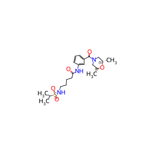 CC(C)S(=O)(=O)NCCCCC(=O)Nc1cccc(C(=O)N2C[C@@H](C)O[C@@H](C)C2)c1